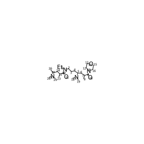 CCN(CCCC(CC(C)C(=O)N1CCOCC1)N(C)C)C(=O)C(C)CC(C)N(C)C